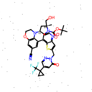 CC(C)(C)OC(=O)N1C[C@@H](N2CCOc3cc(C#N)cc(-c4cc[n+]([O-])c5cc(Cn6ncc(C7(C(F)(F)F)CC7)cc6=O)sc45)c32)C[C@]1(C)CO